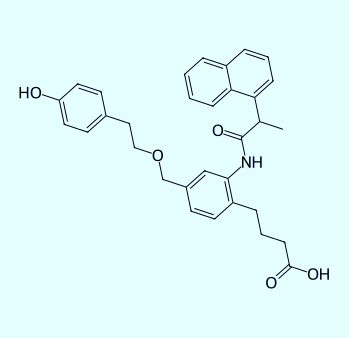 CC(C(=O)Nc1cc(COCCc2ccc(O)cc2)ccc1CCCC(=O)O)c1cccc2ccccc12